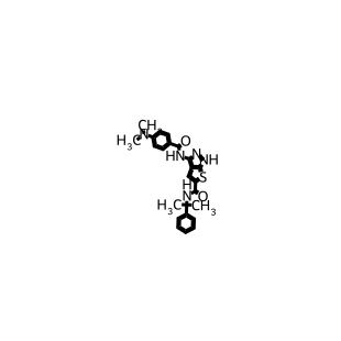 CN(C)c1ccc(C(=O)Nc2n[nH]c3sc(C(=O)NC(C)(C)c4ccccc4)cc23)cc1